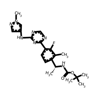 Cc1c([C@@H](C)NC(=O)OC(C)(C)C)ccc(-c2ncnc(Nc3cnn(C)c3)n2)c1F